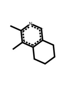 Cc1n[c]c2c(c1C)CCCC2